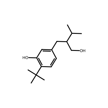 CC(C)C(CO)Cc1ccc(C(C)(C)C)c(O)c1